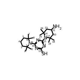 CC1(C)CCCC(C)(C)N1c1nc(S)nc(N2C(C)(C)CC(N)CC2(C)C)n1